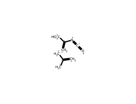 C=C(C)C.C=C(N=C=O)C(=O)O